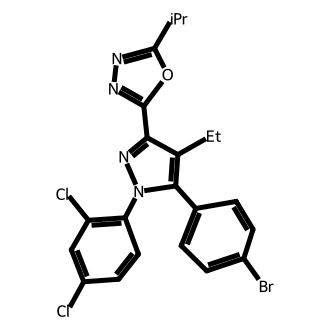 CCc1c(-c2nnc(C(C)C)o2)nn(-c2ccc(Cl)cc2Cl)c1-c1ccc(Br)cc1